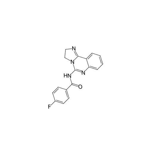 O=C(NC1=Nc2ccccc2C2=NCCN12)c1ccc(F)cc1